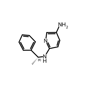 C[C@@H](Nc1ccc(N)cn1)c1ccccc1